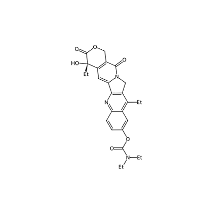 CCc1c2c(nc3ccc(OC(=O)N(CC)CC)cc13)-c1cc3c(c(=O)n1C2)COC(=O)[C@]3(O)CC